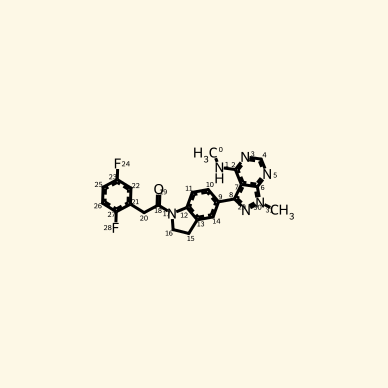 CNc1ncnc2c1c(-c1ccc3c(c1)CCN3C(=O)Cc1cc(F)ccc1F)nn2C